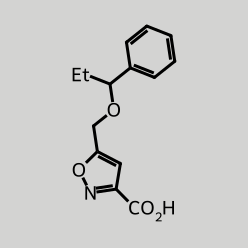 CCC(OCc1cc(C(=O)O)no1)c1ccccc1